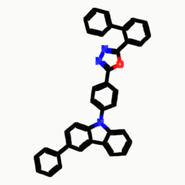 c1ccc(-c2ccc3c(c2)c2ccccc2n3-c2ccc(-c3nnc(-c4ccccc4-c4ccccc4)o3)cc2)cc1